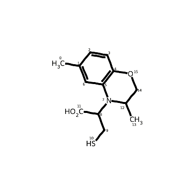 Cc1ccc2c(c1)N(C(CS)C(=O)O)C(C)CO2